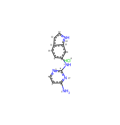 Cl.Nc1ccnc(Nc2ccc3cc[nH]c3c2)n1